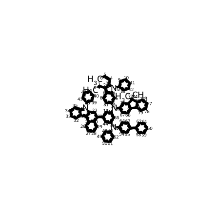 C=Cc1c(/C=C\C)n(-c2ccccc2)c2cc(N(c3cc(-c4cc5c(c6ccccc46)c4ccccc4n5-c4ccccc4)cc(N(c4ccccc4)c4ccc(-c5ccccc5)cc4)c3)c3ccc4c(c3)C(C)(C)c3ccccc3-4)ccc12